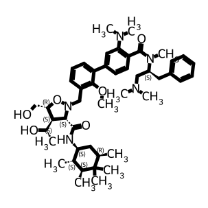 COc1c(CN2O[C@@H](CO)[C@H]([C@H](C)O)[C@H]2C(=O)N[C@H]2C[C@@H](C)C(C)(C)[C@@H](C)[C@@H]2C)cccc1-c1ccc(C(=O)N(C)[C@@H](Cc2ccccc2)CN(C)C)c(N(C)C)c1